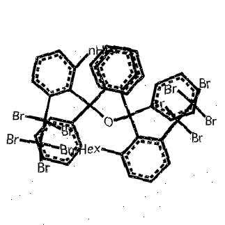 CCCCCCc1cccc(C(Br)(Br)C(Br)(Br)Br)c1C(OC(c1ccccc1)(c1ccccc1)c1c(CCCCCC)cccc1C(Br)(Br)C(Br)(Br)Br)(c1ccccc1)c1ccccc1